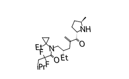 C=C(C[C@H](CC)CN(C(=O)C(F)(F)CC(C)C)C1(CC)CC1)C(=O)[C@@H]1CC[C@@H](C)N1